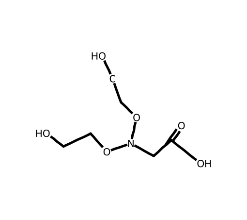 O=C(O)CN(OCCO)OCCO